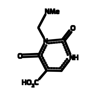 CNCn1c(=O)[nH]cc(C(=O)O)c1=O